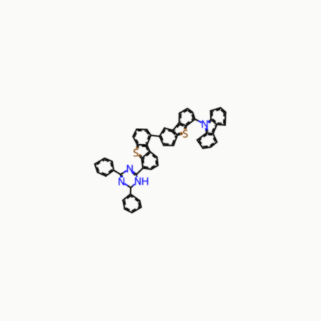 c1ccc(C2=NC(c3ccccc3)NC(c3cccc4c3sc3cccc(-c5ccc6sc7c(-n8c9ccccc9c9ccccc98)cccc7c6c5)c34)=N2)cc1